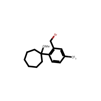 COC1(c2ccc(C(F)(F)F)cc2CBr)CCCCCC1